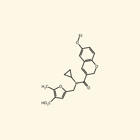 CCOc1ccc2c(c1)C=C(C(=O)N(Cc1cc(C(=O)O)c(C)o1)C1CC1)CO2